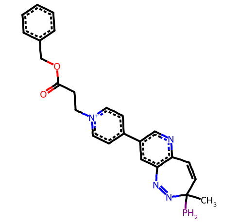 CC1(P)C=Cc2ncc(-c3cc[n+](CCC(=O)OCc4ccccc4)cc3)cc2N=N1